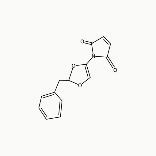 O=C1C=CC(=O)N1C1=COC(Cc2ccccc2)O1